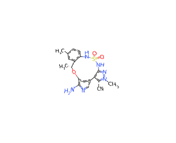 Cc1ccc2c(c1)[C@@H](C)Oc1cc(cnc1N)-c1c(nn(C)c1C#N)NS(=O)(=O)N2